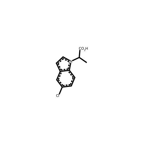 CC(C(=O)O)n1ccc2cc(Cl)ccc21